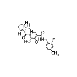 Cc1ccc(CNC(=O)c2cn3c(c(O)c2=O)C(=O)N2[C@@H]4CC[C@@H](C4)[C@H]2C3)c(F)c1